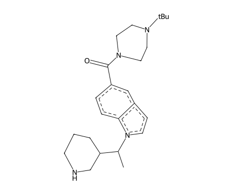 CC(C1CCCNC1)n1ccc2cc(C(=O)N3CCN(C(C)(C)C)CC3)ccc21